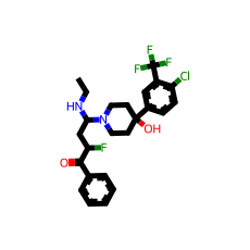 CCNC(CC(F)C(=O)c1ccccc1)N1CCC(O)(c2ccc(Cl)c(C(F)(F)F)c2)CC1